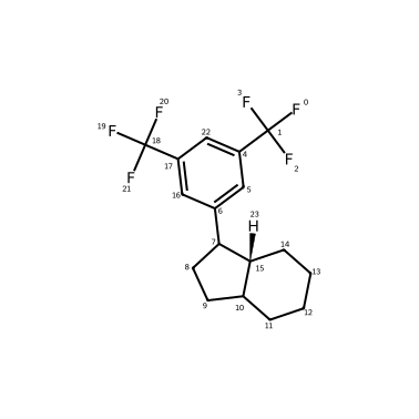 FC(F)(F)c1cc(C2CCC3CCCC[C@H]32)cc(C(F)(F)F)c1